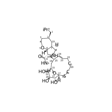 CC(C)C[C@@H]1CCO[C@@H]2[C@H](CN[C@@H]2C(=O)N[C@H]2[C@H]3O[C@H](SCCCC/C=C/[C@@H]2C)[C@H](O)[C@@H](O)[C@H]3O)C1